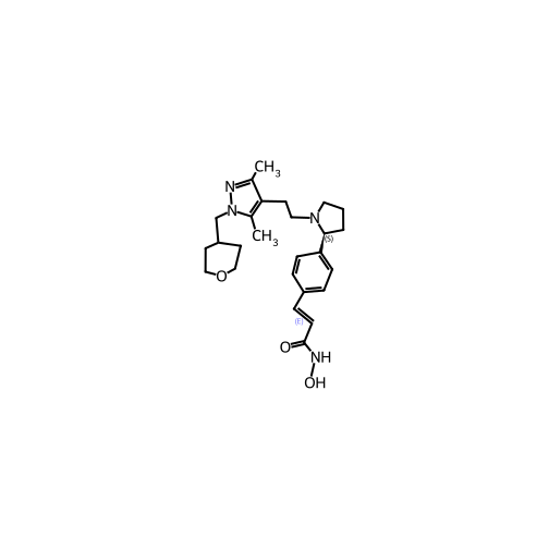 Cc1nn(CC2CCOCC2)c(C)c1CCN1CCC[C@H]1c1ccc(/C=C/C(=O)NO)cc1